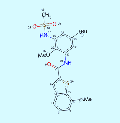 CNc1cccc2cc(C(=O)Nc3cc(C(C)(C)C)cc(NS(C)(=O)=O)c3OC)sc12